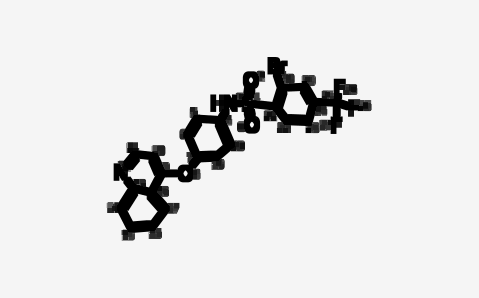 O=S(=O)(Nc1ccc(Oc2ccnc3ccccc23)cc1)c1ccc(C(F)(F)F)cc1Br